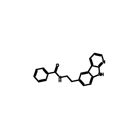 O=C(NCCc1ccc2[nH]c3ncccc3c2c1)c1ccccc1